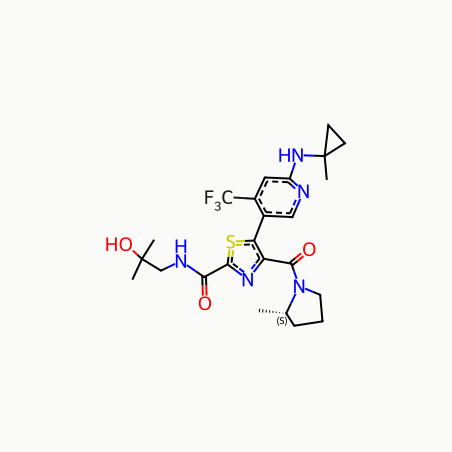 C[C@H]1CCCN1C(=O)c1nc(C(=O)NCC(C)(C)O)sc1-c1cnc(NC2(C)CC2)cc1C(F)(F)F